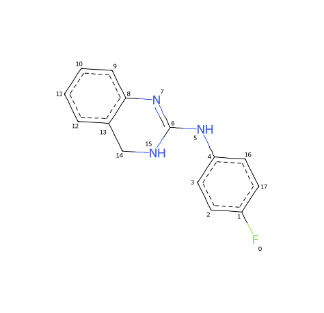 Fc1ccc(NC2=Nc3ccccc3CN2)cc1